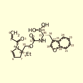 C=CC(=O)N1C=CC[C@]1(CC)COC(=O)N[C@@H](Cc1coc2ccccc12)B(O)O